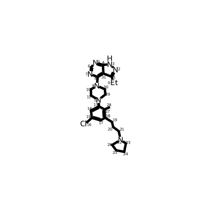 CCc1n[nH]c2ncnc(N3CCN(c4cc(Cl)cc(CCCN5CCCC5)c4C)CC3)c12